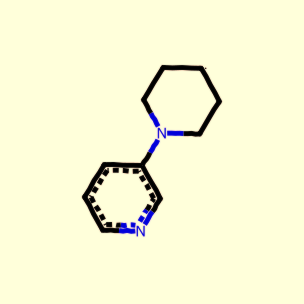 [CH]1CCN(c2cccnc2)CC1